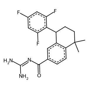 CC1(C)CCC(c2c(F)cc(F)cc2F)c2cc(C(=O)N=C(N)N)ccc21